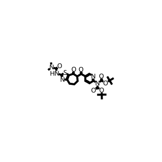 CN(C)C(=O)Nc1nc2c(s1)C(=O)C(C(=O)c1ccc(N(C(=O)OC(C)(C)C)C(=O)OC(C)(C)C)nc1)CCC2